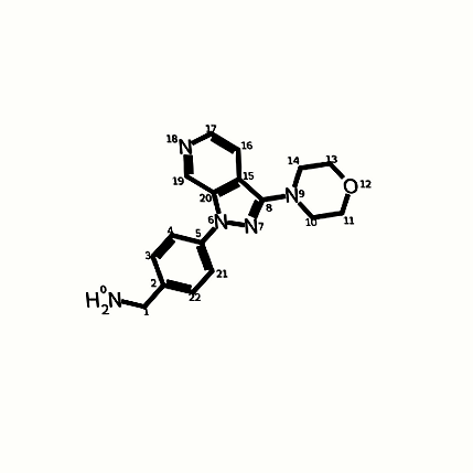 NCc1ccc(-n2nc(N3CCOCC3)c3ccncc32)cc1